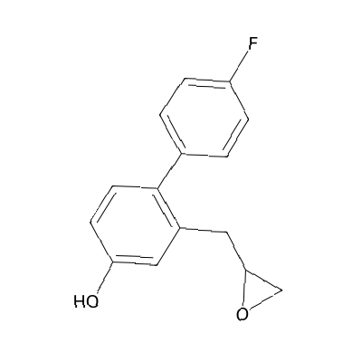 Oc1ccc(-c2ccc(F)cc2)c(CC2CO2)c1